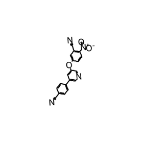 N#Cc1ccc(-c2cncc(Oc3ccc([N+](=O)[O-])c(C#N)c3)c2)cc1